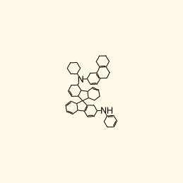 C1=CCCC(NC2C=CC3=C(C2)C2(C4C=CC=CC34)C3C=CCC(N(C4C=CC5=C(C4)C4=C(CCCC4)CC5)C4CCCCC4)C3C3C=CCCC32)=C1